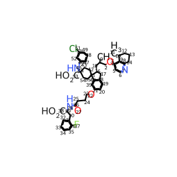 C[C@@H](COc1ccnc2c1[C@H](C)CCC2)C[C@H]1Cc2ccc(OCCCC(=O)N[C@H](Cc3ccccc3F)C(=O)O)cc2C12CCC(Nc1cccc(Cl)c1)(C(=O)O)CC2